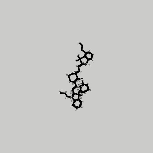 CCCc1cccc2c1C(C)(C)C(=CC=C1CCCC(C=CC3=[N+](CCC)c4ccccc4C3(C)C)=C1Oc1ccccc1)N2